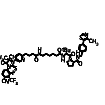 Cc1ncsc1-c1ccc(CNC(=O)C2CCCN2C(=O)C(NC(=O)CCCCCNC(=O)CCCc2ccc(N3C(=S)N(c4ccc(C#N)c(C(F)(F)F)c4F)C(=O)C3(C)C)cn2)C(C)(C)C)cc1